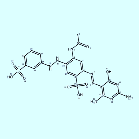 CC(=O)Nc1cc(/N=N/c2c(N)nc(N)nc2O)c(S(=O)(=O)O)cc1NNc1cccc(S(=O)(=O)O)c1